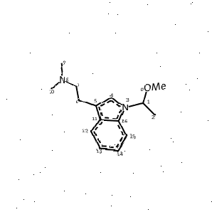 COC(C)n1cc(CCN(C)C)c2ccccc21